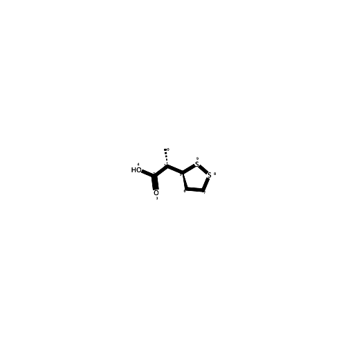 C[C@@H](C(=O)O)[C@@H]1CCSS1